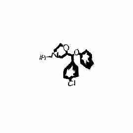 CC(C)N1CCOC(C(Oc2ccccc2)c2ccc(Cl)cc2)C1